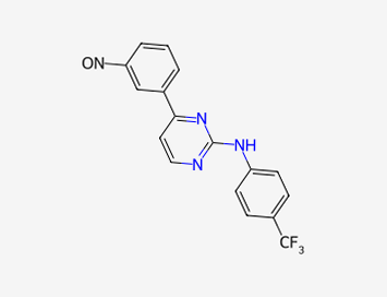 O=Nc1cccc(-c2ccnc(Nc3ccc(C(F)(F)F)cc3)n2)c1